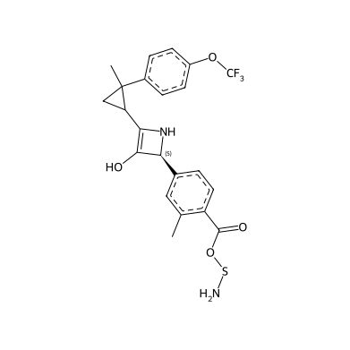 Cc1cc([C@@H]2NC(C3CC3(C)c3ccc(OC(F)(F)F)cc3)=C2O)ccc1C(=O)OSN